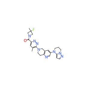 Cc1cc(C(=O)N2CC(C)(F)C2)nnc1N1CCc2ncc(N3CCCn4nccc43)cc2C1